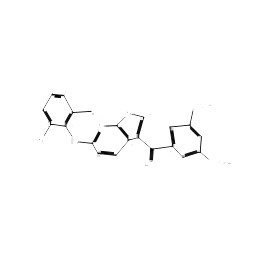 COc1cc(OC)cc(C(=O)c2c[nH]c3nc(Nc4c(C)cccc4N)ccc23)c1